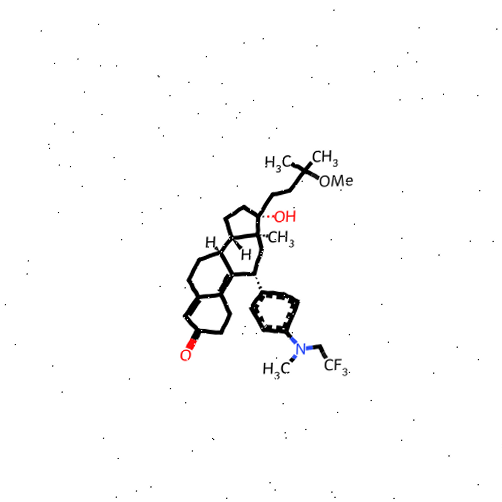 COC(C)(C)CC[C@]1(O)CC[C@H]2[C@@H]3CCC4=CC(=O)CCC4=C3[C@@H](c3ccc(N(C)CC(F)(F)F)cc3)C[C@@]21C